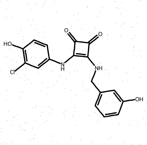 O=c1c(NCc2cccc(O)c2)c(Nc2ccc(O)c(Cl)c2)c1=O